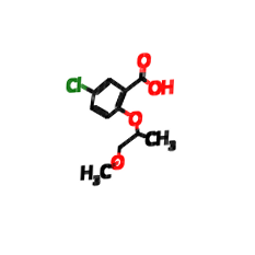 COCC(C)Oc1ccc(Cl)cc1C(=O)O